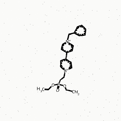 CCOP(=O)(CC[n+]1ccc(-c2cc[n+](Cc3ccccc3)cc2)cc1)OCC